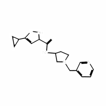 O=C(NC1CCN(Cc2cccnc2)C1)C1C=C(C2CC2)ON1